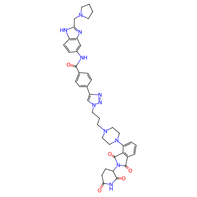 O=C1CCC(N2C(=O)c3cccc(N4CCN(CCCn5cc(-c6ccc(C(=O)Nc7ccc8[nH]c(CN9CCCC9)nc8c7)cc6)nn5)CC4)c3C2=O)C(=O)N1